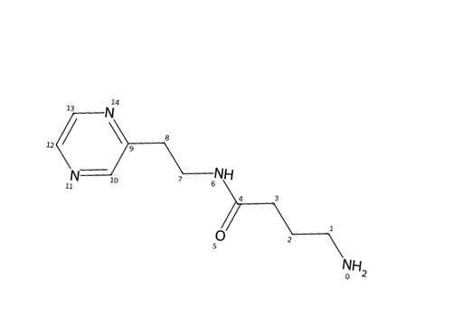 NCCCC(=O)NCCc1cnccn1